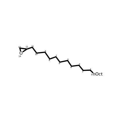 CCCCCCCCCCCCCCCCCCCC1CO1